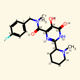 CN(Cc1ccc(F)cc1)C(=O)c1nc(C2CCCCN2C)[nH]c(=O)c1O